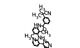 Cc1ccc(NC(=O)c2cccc(C(C)(C)C#N)c2)c(C)c1Nc1ncccc1-c1ncnc2[nH]cnc12